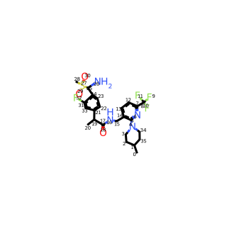 CC1CCN(c2nc(C(F)(F)F)ccc2CNC(=O)C(C)c2ccc(C(N)S(C)(=O)=O)c(F)c2)CC1